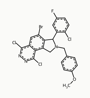 COc1ccc(CN2Cc3c(c(Br)cc4c(Cl)nnc(Cl)c34)C2c2cc(F)ccc2Cl)cc1